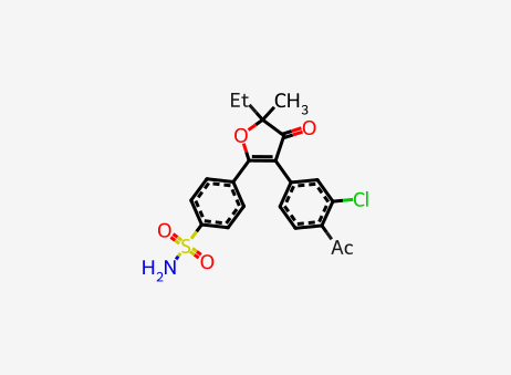 CCC1(C)OC(c2ccc(S(N)(=O)=O)cc2)=C(c2ccc(C(C)=O)c(Cl)c2)C1=O